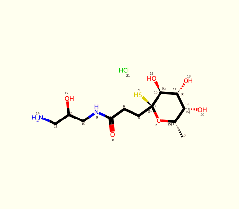 C[C@@H]1O[C@](S)(CCC(=O)NCC(O)CN)[C@@H](O)[C@H](O)[C@@H]1O.Cl